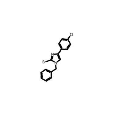 Clc1ccc(-c2cn(Cc3ccccc3)c(Br)n2)cc1